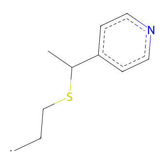 [CH2]CCSC(C)c1ccncc1